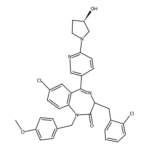 COc1ccc(CN2C(=O)C(Cc3ccccc3Cl)N=C(c3ccc(N4CC[C@@H](O)C4)nc3)c3cc(Cl)ccc32)cc1